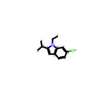 CCn1c(C(C)C)cc2ccc(Cl)cc21